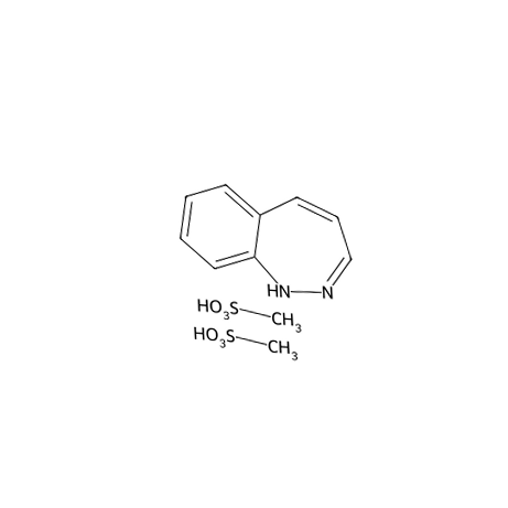 C1=Cc2ccccc2NN=C1.CS(=O)(=O)O.CS(=O)(=O)O